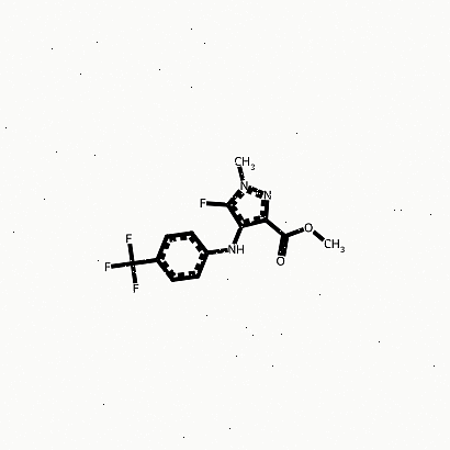 COC(=O)c1nn(C)c(F)c1Nc1ccc(C(F)(F)F)cc1